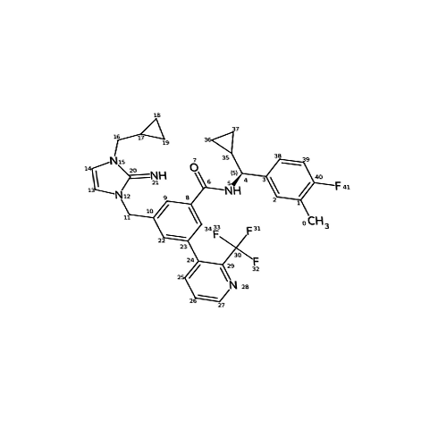 Cc1cc([C@@H](NC(=O)c2cc(Cn3ccn(CC4CC4)c3=N)cc(-c3cccnc3C(F)(F)F)c2)C2CC2)ccc1F